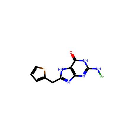 O=c1[nH]c(NBr)nc2nc(Cc3cccs3)[nH]c12